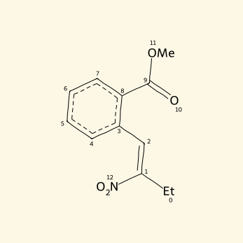 CCC(=Cc1ccccc1C(=O)OC)[N+](=O)[O-]